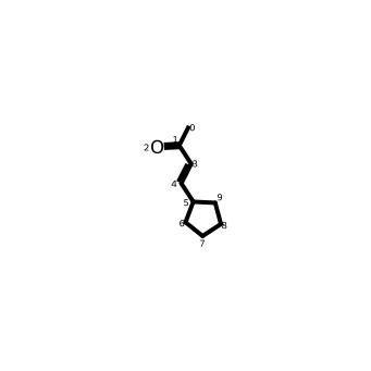 CC(=O)/C=C/C1CCCC1